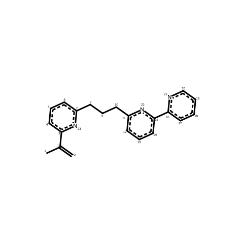 C=C(C)c1cccc(CCCc2cccc(-c3ccccn3)n2)n1